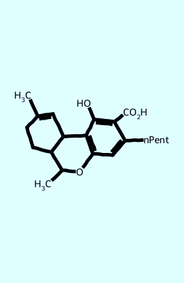 CCCCCc1cc2c(c(O)c1C(=O)O)C1C=C(C)CCC1C(C)O2